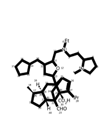 CCN(CCC1CCCN1C)CC1OC(C23C[C@@H]4[C@H](C)CC[C@H]4C4(C=O)CC2C=C(C(C)C)[C@@]34C(=O)O)CC1CC1CCCC1